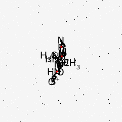 CNC(=N)c1cc(-c2cccc(OCc3ccc(C#N)cc3F)n2)ccc1Cc1nc2cc(C(=O)NCCc3ccc([S+]=O)cc3)ccc2n1CCOC